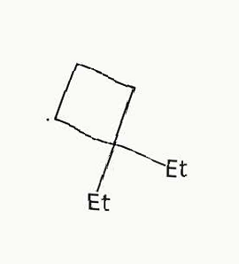 CCC1(CC)[CH]CC1